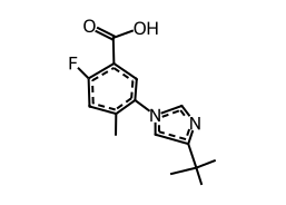 Cc1cc(F)c(C(=O)O)cc1-n1cnc(C(C)(C)C)c1